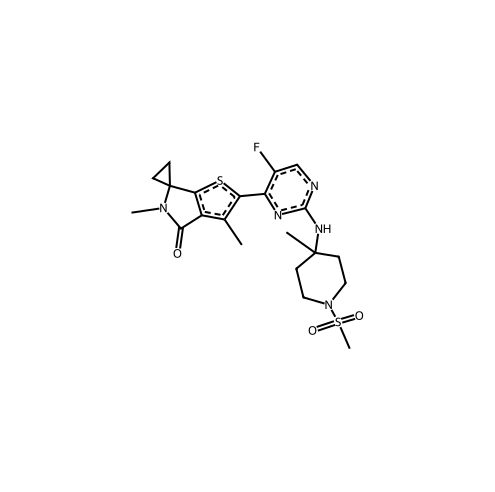 Cc1c(-c2nc(NC3(C)CCN(S(C)(=O)=O)CC3)ncc2F)sc2c1C(=O)N(C)C21CC1